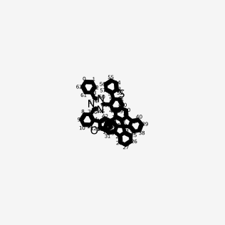 c1ccc(-c2nc(-c3cccc4oc5ccc(-c6cccc7c6C6(c8ccccc8-c8ccccc86)c6ccccc6-7)cc5c34)nc(-c3cccc4sc5ccccc5c34)n2)cc1